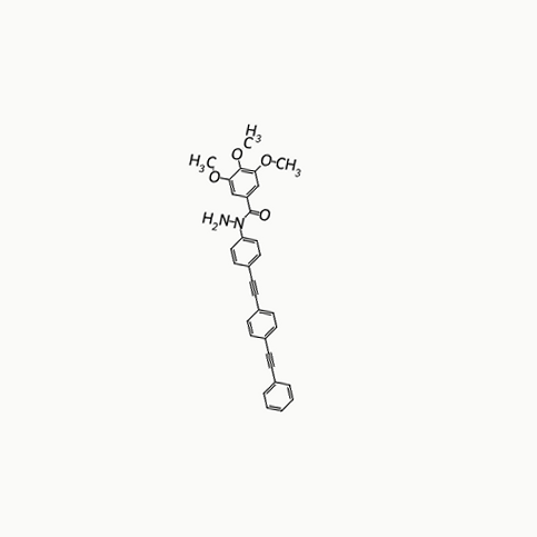 COc1cc(C(=O)N(N)c2ccc(C#Cc3ccc(C#Cc4ccccc4)cc3)cc2)cc(OC)c1OC